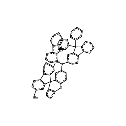 CC(C)(C)c1ccc2c(c1)C1(c3ccccc3Sc3ccc(N(c4ccc5c(c4)C(c4ccccc4)(c4ccccc4)c4ccccc4-5)c4cccc5c4sc4ccccc45)cc31)c1cc(C(C)(C)C)ccc1-2